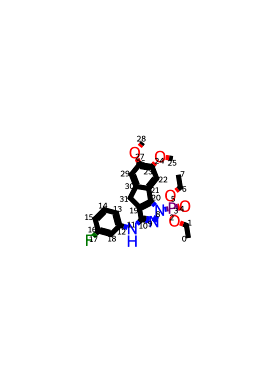 CCOP(=O)(OCC)n1nc(Nc2cccc(F)c2)c2c1-c1cc(OC)c(OC)cc1C2